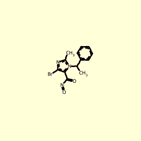 Cc1nc(Br)c(C(=O)N=O)n1C(C)c1ccccc1